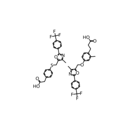 Cc1cc(OCc2oc(-c3ccc(C(F)(F)F)cc3)nc2C)ccc1CCC(=O)O.Cc1nc(-c2ccc(C(F)(F)F)cc2)oc1CSc1ccc(CC(=O)O)cc1